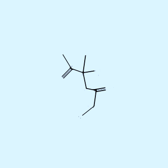 C[C@H](N)C(=O)CC(C)(O)C(=O)O